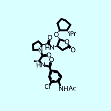 CC(=O)Nc1ccc(C(=O)N[C@@H](C)C(=O)N2CCC[C@H]2C(=O)N[C@H]2CC(=O)O[C@H]2O[C@H]2CCCC[C@@H]2C(C)C)cc1Cl